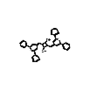 OC1C(C=C2C=C(c3ccccc3)SC(c3ccccc3)=C2)C(O)C1C=C1C=C(c2ccccc2)SC(c2ccccc2)=C1